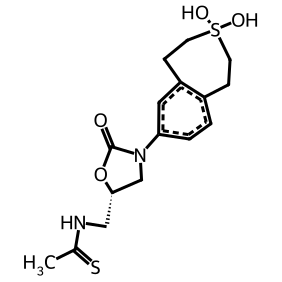 CC(=S)NC[C@H]1CN(c2ccc3c(c2)CCS(O)(O)CC3)C(=O)O1